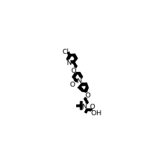 CC(C(=O)O)N(CCOc1ccc(-n2ccc(OCc3ccc(Cl)cn3)cc2=O)cc1)C(C)(C)C